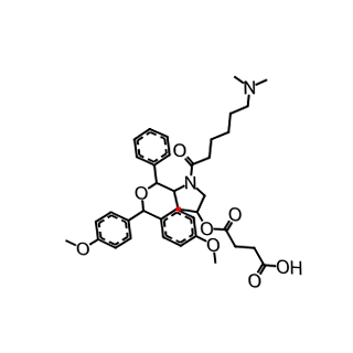 COc1ccc(C(OC(c2ccccc2)C2CC(OC(=O)CCC(=O)O)CN2C(=O)CCCCCN(C)C)c2ccc(OC)cc2)cc1